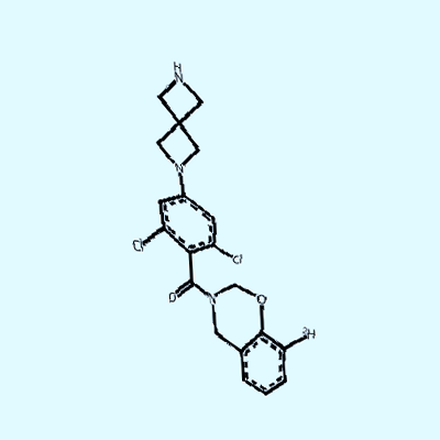 [2H]c1cccc2c1OCN(C(=O)c1c(Cl)cc(N3CC4(CNC4)C3)cc1Cl)C2